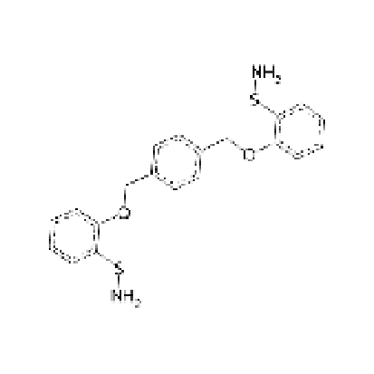 NSc1ccccc1OCc1ccc(COc2ccccc2SN)cc1